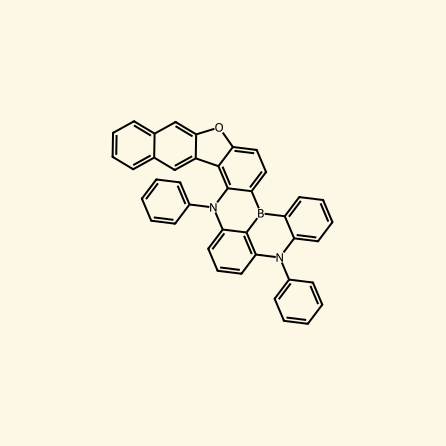 c1ccc(N2c3ccccc3B3c4ccc5oc6cc7ccccc7cc6c5c4N(c4ccccc4)c4cccc2c43)cc1